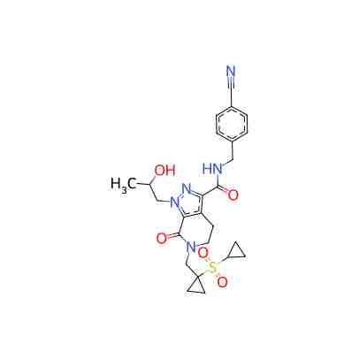 CC(O)Cn1nc(C(=O)NCc2ccc(C#N)cc2)c2c1C(=O)N(CC1(S(=O)(=O)C3CC3)CC1)CC2